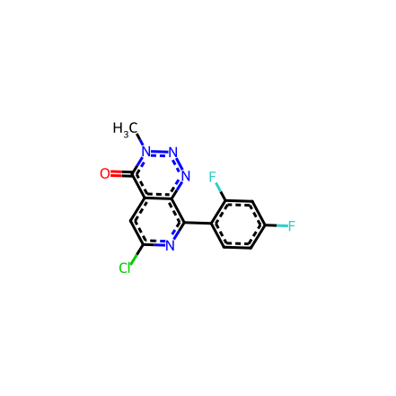 Cn1nnc2c(-c3ccc(F)cc3F)nc(Cl)cc2c1=O